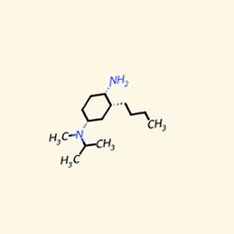 CCCC[C@@H]1C[C@H](N(C)C(C)C)CC[C@@H]1N